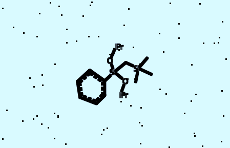 CC(C)O[Si](C[Si](C)(C)C)(OC(C)C)c1ccccc1